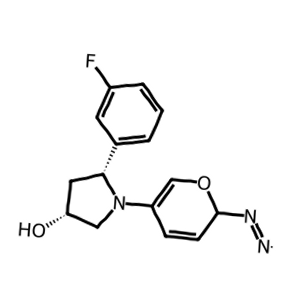 [N]=NC1C=CC(N2C[C@H](O)C[C@@H]2c2cccc(F)c2)=CO1